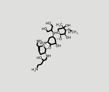 CN[C@@H]1[C@@H](O)[C@@H](O[C@H]2[C@H](NC(CO)CO)C[C@H](N)C(O[C@H]3OC(CN)=CC[C@H]3NCC(O)CCN)[C@@H]2O)OC[C@]1(C)O